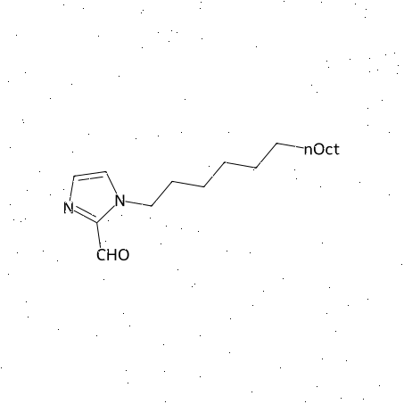 CCCCCCCCCCCCCCn1ccnc1C=O